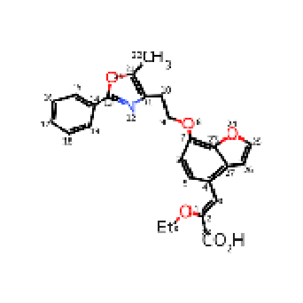 CCOC(=Cc1ccc(OCCc2nc(-c3ccccc3)oc2C)c2occc12)C(=O)O